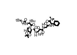 CCC[C@H](NC(=O)[C@@H]1C2OC(C)(C)O[C@H]2CN1C(=O)[C@@H](NC(=O)OC(C)(C)C)C(C)(C)C)C(=O)C(=O)NCC(=O)NC(C(=O)N(C)C)c1ccccc1